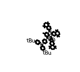 Cc1cc2c3c(c1)N(c1ccc(N(c4ccc(C(C)(C)C)cc4)c4ccc(C(C)(C)C)cc4)cc1)c1c(oc4cc5c(cc14)C(C)(C)CCC5(C)C)B3c1cc3c(cc1N2c1ccc2c(c1)C(C)(C)CCC2(C)C)C(C)(C)CCC3(C)C